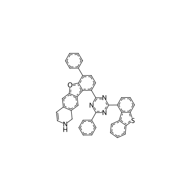 C1=Cc2cc3oc4c(-c5ccccc5)ccc(-c5nc(-c6ccccc6)nc(-c6cccc7sc8ccccc8c67)n5)c4c3cc2CN1